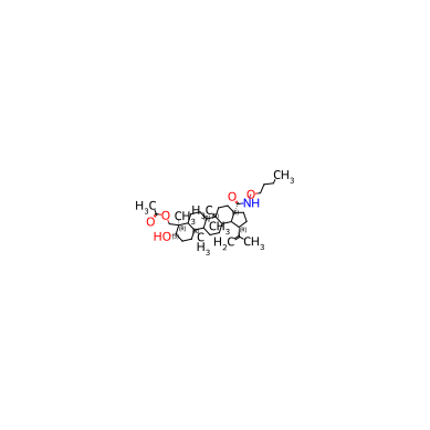 C=C(C)[C@@H]1CC[C@]2(C(=O)NOCCCC)CC[C@]3(C)C(CCC4[C@@]5(C)CC[C@H](O)[C@@](C)(COC(C)=O)C5CC[C@]43C)C12